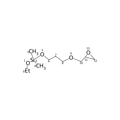 CCO[Si](C)(C)OCCCOCC1CO1